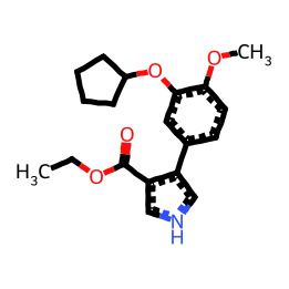 CCOC(=O)c1c[nH]cc1-c1ccc(OC)c(OC2CCCC2)c1